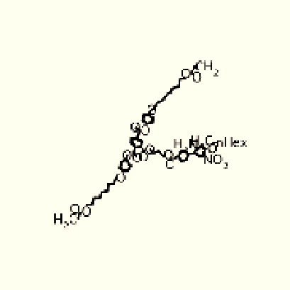 C=CC(=O)OCCCCCCCCCOc1ccc(OC(=O)c2ccc(C(=O)Oc3ccc(OCCCCCCCCCOC(=O)C=C)cc3)c(C(=O)OCCCOC(=O)c3ccc(-c4cc([N+](=O)[O-])c(O[C@@H](C)CCCCCC)cc4N)cc3)c2)cc1